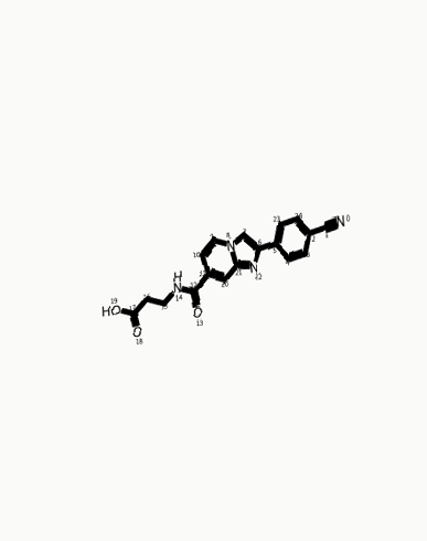 N#Cc1ccc(-c2cn3ccc(C(=O)NCCC(=O)O)cc3n2)cc1